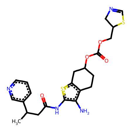 CC(CC(=O)Nc1sc2c(c1N)CCC(OC(=O)OCC1CN=CS1)C2)c1cccnc1